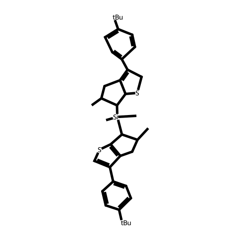 CC1Cc2c(-c3ccc(C(C)(C)C)cc3)csc2C1[Si](C)(C)C1C(C)CC2=C(c3ccc(C(C)(C)C)cc3)CSC21